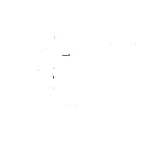 O=C(O)/C=C/C/C=C\C[C@H]1[C@@H](/C=C/C(O)CC2CCCC2)[C@H]2CC[C@@H]1O2